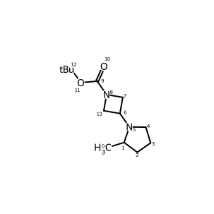 CC1CCCN1C1CN(C(=O)OC(C)(C)C)C1